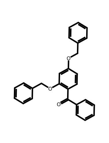 O=C(c1ccccc1)c1ccc(OCc2ccccc2)cc1OCc1ccccc1